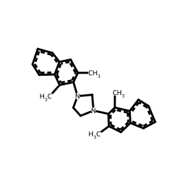 Cc1cc2ccccc2c(C)c1N1CCN(c2c(C)cc3ccccc3c2C)C1